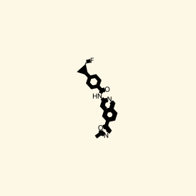 Cc1ncc(-c2ccc3cnc(NC(=O)C4CCC(C5C[C@@H]5CF)CC4)cc3c2)o1